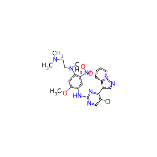 COc1cc(N(C)CCN(C)C)c([N+](=O)[O-])cc1Nc1ncc(Cl)c(-c2cnn3ccccc23)n1